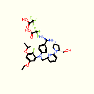 CCOc1cc(OC(C)C)c(F)c(N(Cc2cccc(N3CCC[C@@H]3CO)n2)c2ccc(C(=N)N)cc2)c1.O=C(O)C(F)(F)F.O=C(O)C(F)(F)F